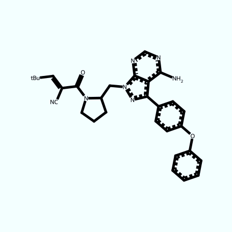 CC(C)(C)/C=C(\C#N)C(=O)N1CCCC1Cn1nc(-c2ccc(Oc3ccccc3)cc2)c2c(N)ncnc21